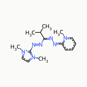 CC(C)C(N=Nc1n(C)cc[n+]1C)=NN=c1ccccn1C